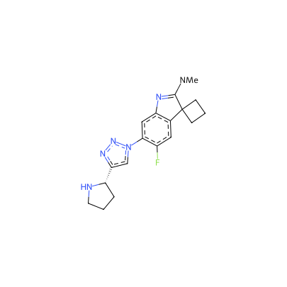 CNC1=Nc2cc(-n3cc([C@@H]4CCCN4)nn3)c(F)cc2C12CCC2